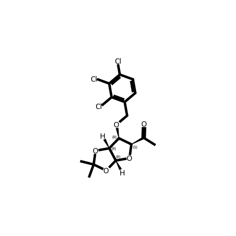 CC(=O)[C@H]1O[C@@H]2OC(C)(C)O[C@@H]2[C@H]1OCc1ccc(Cl)c(Cl)c1Cl